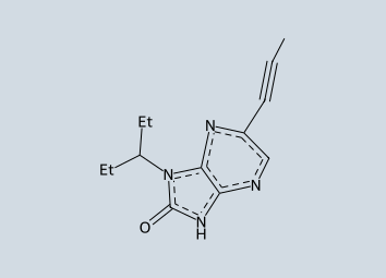 CC#Cc1cnc2[nH]c(=O)n(C(CC)CC)c2n1